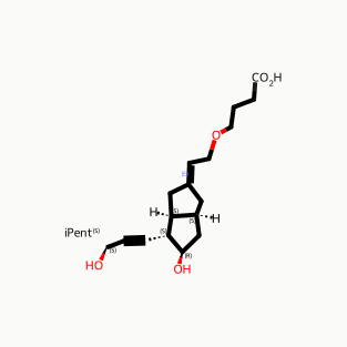 CCC[C@H](C)[C@H](O)C#C[C@@H]1[C@H]2C/C(=C/COCCCC(=O)O)C[C@H]2C[C@H]1O